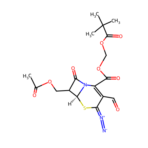 CC(=O)OCC1C(=O)N2C(C(=O)OCOC(=O)C(C)(C)C)=C(C=O)C(=[N+]=[N-])S[C@@H]12